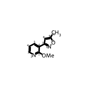 COc1ncccc1-c1cc(C)on1